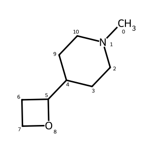 CN1CCC(C2CCO2)CC1